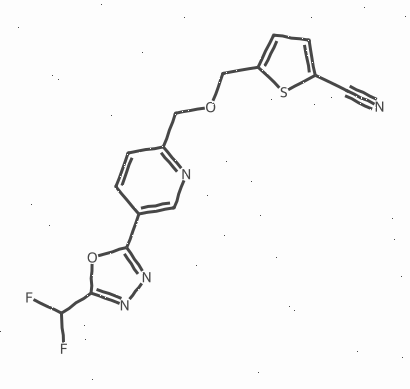 N#Cc1ccc(COCc2ccc(-c3nnc(C(F)F)o3)cn2)s1